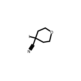 N#CC1(I)CCOCC1